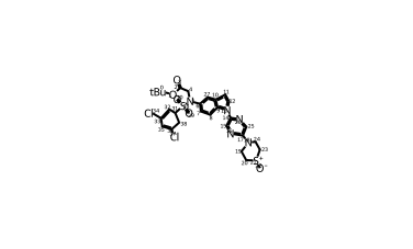 CC(C)(C)OC(=O)CN(c1ccc2c(ccn2-c2cnc(N3CC[S+]([O-])CC3)cn2)c1)S(=O)(=O)C1C=C(Cl)C=C(Cl)C1